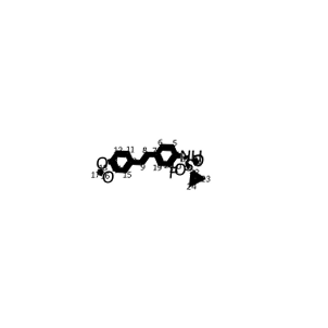 O=S(=O)(Nc1ccc(/C=C/c2ccc3c(c2)OCO3)cc1F)C1CC1